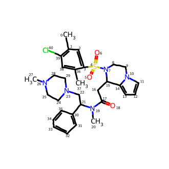 Cc1cc(S(=O)(=O)N2CCn3cccc3C2CC(=O)N(C)C(CN2CCN(C)CC2)c2ccccc2)c(C)cc1Cl